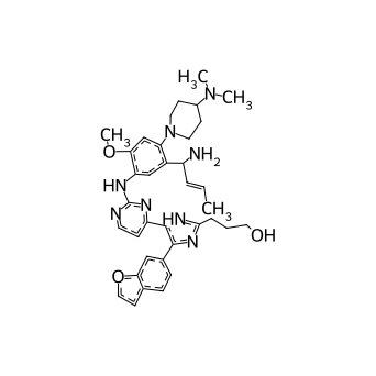 CC=CC(N)c1cc(Nc2nccc(-c3[nH]c(CCCO)nc3-c3ccc4ccoc4c3)n2)c(OC)cc1N1CCC(N(C)C)CC1